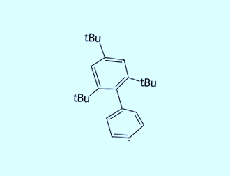 CC(C)(C)c1cc(C(C)(C)C)c(-c2cc[c]cc2)c(C(C)(C)C)c1